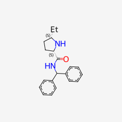 CC[C@H]1CC[C@@H](C(=O)NC(c2ccccc2)c2ccccc2)N1